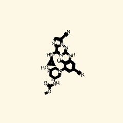 COC(=O)N[C@H]1C[C@@H](O)CN(c2cc(C#N)cc(Nc3nc(NC4CC4)c4ncc(C#N)n4n3)c2Cl)C1